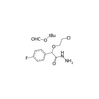 CC(C)(C)OC=O.NNC(=O)C(OCCCl)c1ccc(F)cc1